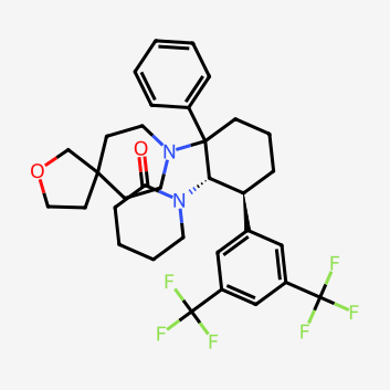 O=C1CCCCN1[C@H]1[C@H](c2cc(C(F)(F)F)cc(C(F)(F)F)c2)CCCC1(c1ccccc1)N1CCC2(CCOC2)CC1